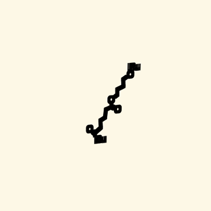 CCC(C)OCCCCOC(=O)CCCCC(=O)C(C)CC